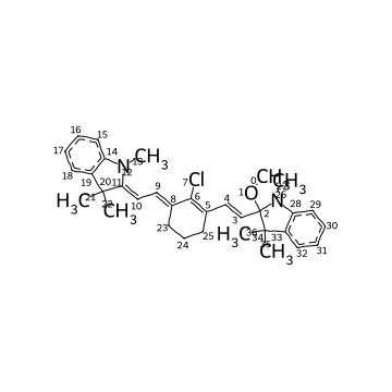 COC1(/C=C/C2=C(Cl)C(=C/C=C3\N(C)c4ccccc4C3(C)C)/CCC2)N(C)c2ccccc2C1(C)C